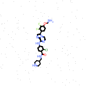 NCOc1ccc(-c2cnc3c(Nc4ccc(C(=O)NCC5CCNCC5)c(Cl)c4)nccn23)c(F)c1F